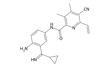 C=Cc1nc(C(=O)Nc2ccc(N)c(C(=N)C3CC3)c2)c(C)c(C)c1C#N